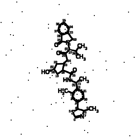 Cc1cc(C2SC=NC2C)ccc1[C@H](C)NC(=O)C1C[C@@H](O)CC1CC(=O)[C@H](C(C)C)N1Cc2ccccc2C1=O